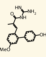 COc1ccc(/C=C(\C)C(=O)NC(=N)N)c(-c2ccc(O)cc2)c1